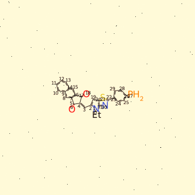 CCn1c(C=C2C(=O)c3cc4ccccc4cc3C2=O)cc2sc(-c3ccc(P)cc3)nc21